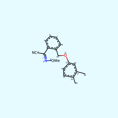 CO/N=C(/C#N)c1ccccc1COc1ccc(C)c(C)c1